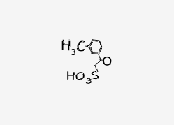 Cc1cccc(C(=O)CCS(=O)(=O)O)c1